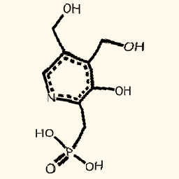 O=P(O)(O)Cc1ncc(CO)c(CO)c1O